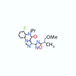 COCC(C)c1nc(-c2ncn3c2c(=O)n(C(C)C)c2c(F)cccc23)no1